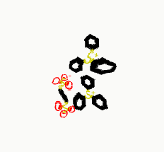 O=S(=O)([O-])CCS(=O)(=O)[O-].c1ccc([S+](c2ccccc2)c2ccccc2)cc1.c1ccc([S+](c2ccccc2)c2ccccc2)cc1